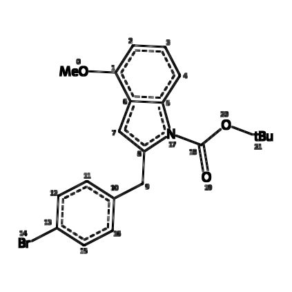 COc1cccc2c1cc(Cc1ccc(Br)cc1)n2C(=O)OC(C)(C)C